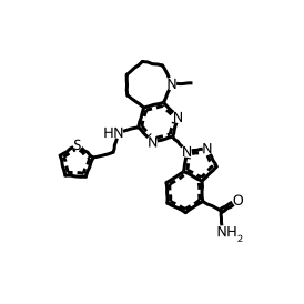 CN1CCCCc2c(NCc3cccs3)nc(-n3ncc4c(C(N)=O)cccc43)nc21